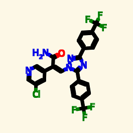 NC(=O)C(=Cn1nc(-c2ccc(C(F)(F)F)cc2)nc1-c1ccc(C(F)(F)F)cc1)c1cncc(Cl)c1